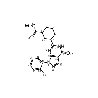 COC(=O)C1CCCC(c2nc3c(cnn3-c3ccccc3C)c(=O)[nH]2)C1